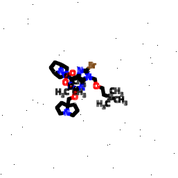 CC(C)(C)OC(=O)N1C2CCC1CN(c1nc(OCC34CCCN3CCC4)nc3c1nc(Br)n3COCC[Si](C)(C)C)C2